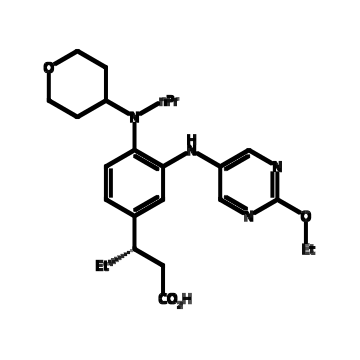 CCCN(c1ccc([C@@H](CC)CC(=O)O)cc1Nc1cnc(OCC)nc1)C1CCOCC1